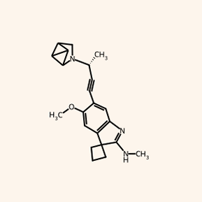 CNC1=Nc2cc(C#C[C@@H](C)N3CC4C5C4C53)c(OC)cc2C12CCC2